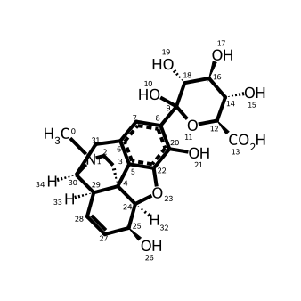 CN1CC[C@]23c4c5cc(C6(O)O[C@H](C(=O)O)[C@@H](O)[C@H](O)[C@H]6O)c(O)c4O[C@H]2[C@@H](O)C=C[C@H]3[C@H]1C5